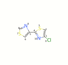 Clc1csc(-c2cscn2)n1